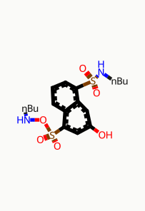 CCCCNOS(=O)(=O)c1cc(O)cc2c(S(=O)(=O)NCCCC)cccc12